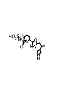 CC(Cc1nnc([C@@H]2CC[C@@H]3CN2C(=O)N3OS(=O)(=O)O)o1)C1CNC1